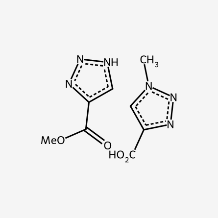 COC(=O)c1c[nH]nn1.Cn1cc(C(=O)O)nn1